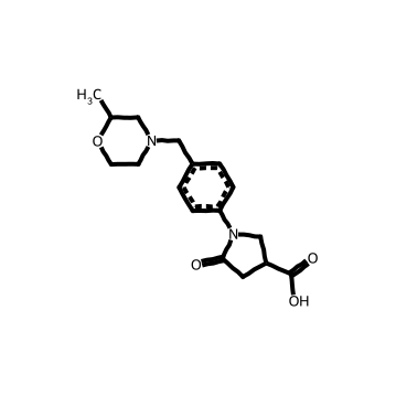 CC1CN(Cc2ccc(N3CC(C(=O)O)CC3=O)cc2)CCO1